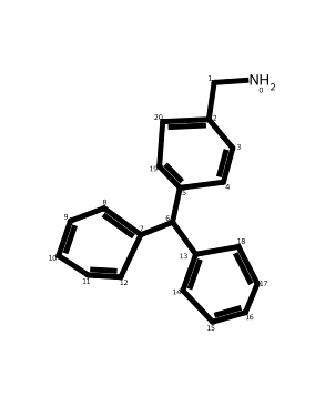 NCc1[c]cc(C(c2ccccc2)c2ccccc2)cc1